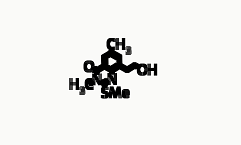 CSc1nc2c(CCO)cc(C)cc2c(=O)n1C